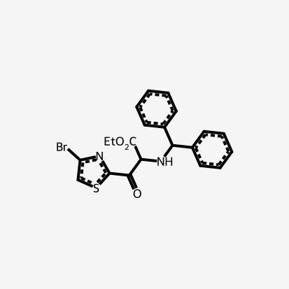 CCOC(=O)C(NC(c1ccccc1)c1ccccc1)C(=O)c1nc(Br)cs1